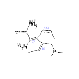 C=C(N)/C(N)=C(\C=C/C)C(=C\C)/CP(C)C